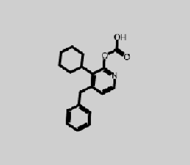 O=C(O)Oc1nccc(Cc2ccccc2)c1C1CCCCC1